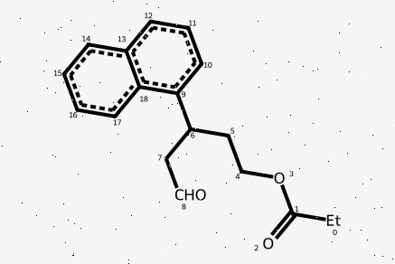 CCC(=O)OCCC(CC=O)c1cccc2ccccc12